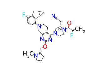 C=C(F)C(=O)N1CCN(c2nc(OC[C@@H]3CCCN3C)nc3c2CCN(c2ccc(F)c4c2C2CC2C4)C3)C[C@@H]1CC#N